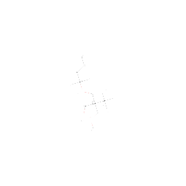 CCCC(C)(C)OCC(CO)(COC)C(C)(C)C